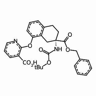 CC(C)(C)OC(=O)N[C@@]1(C(=O)OCc2ccccc2)CCc2cccc(Oc3ncccc3C(=O)O)c2C1